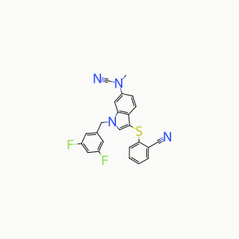 CN(C#N)c1ccc2c(Sc3ccccc3C#N)cn(Cc3cc(F)cc(F)c3)c2c1